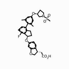 Cc1cc(O[C@H]2CCN(S(C)(=O)=O)C2)cc(C)c1-c1ccc(F)c2c1CC[C@H]2Oc1ccc2c(c1)OC[C@H]2CC(=O)O